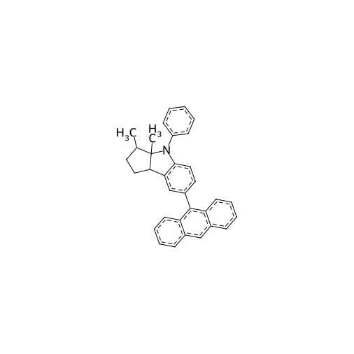 CC1CCC2c3cc(-c4c5ccccc5cc5ccccc45)ccc3N(c3ccccc3)C12C